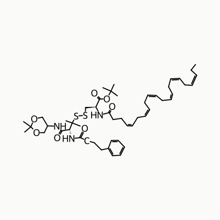 CC/C=C\C/C=C\C/C=C\C/C=C\C/C=C\C/C=C\CCC(=O)N[C@@H](CSSC(C)(C)[C@H](NC(=O)CCCc1ccccc1)C(=O)NC1COC(C)(C)OC1)C(=O)OC(C)(C)C